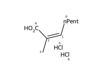 CCCCC/C=C(/C)C(=O)O.Cl.Cl